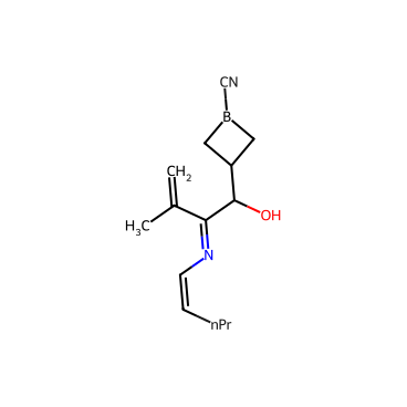 C=C(C)/C(=N\C=C/CCC)C(O)C1CB(C#N)C1